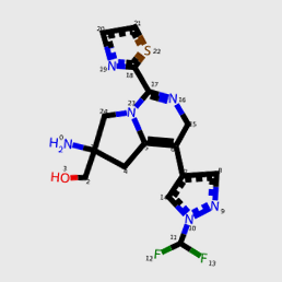 NC1(CO)CC2=C(c3cnn(C(F)F)c3)CN=C(c3nccs3)N2C1